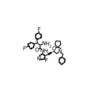 NC(C(=O)Nc1cncc(F)c1C#C[C@@H]1CN(Cc2ccccc2)CC2(CCCC2)O1)C(c1ccc(F)cc1)c1ccc(F)cc1